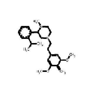 C=C1C(OC)=CC(CCN2CCN(C)C(c3ccccc3C(C)C)C2)=CC1OC